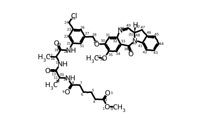 COC(=O)CCCCC(=O)N[C@@H](C)C(=O)NC(C)C(=O)Nc1cc(CCl)cc(COc2cc3c(cc2OC)C(=O)N2c4ccccc4C[C@H]2C=N3)c1